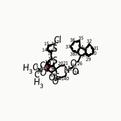 CC(C)(C)OC(=O)CC1(c2ccc(-c3ccc(Cl)s3)s2)CCN(C(=O)OCC2c3ccccc3-c3ccccc32)CCS1(=O)=O